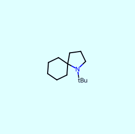 CC(C)(C)N1CCCC12CCCCC2